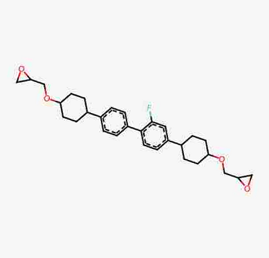 Fc1cc(C2CCC(OCC3CO3)CC2)ccc1-c1ccc(C2CCC(OCC3CO3)CC2)cc1